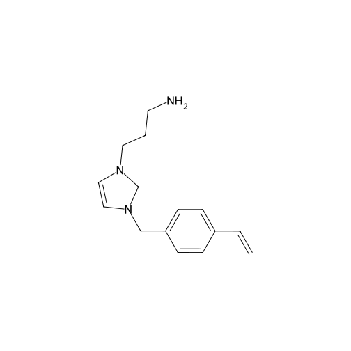 C=Cc1ccc(CN2C=CN(CCCN)C2)cc1